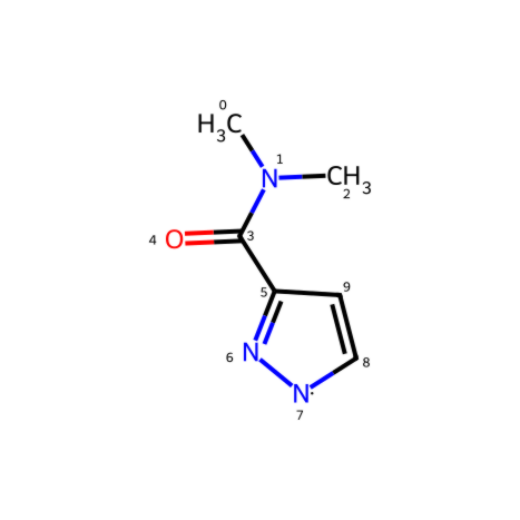 CN(C)C(=O)C1=N[N]C=C1